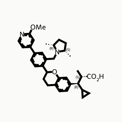 COc1cc(-c2ccc(C3CCc4ccc([C@H](C5CC5)[C@H](C)C(=O)O)cc4O3)c(CN3[C@H](C)CC[C@@H]3C)c2)ccn1